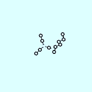 c1ccc(-c2ccc(-c3nc(-c4ccc(-c5ccccc5)cc4)nc(-c4ccc(-n5c6ccccc6c6cc(-c7cccc8c(-c9cccc%10c9oc9ccccc9%10)cccc78)ccc65)cc4)n3)cc2)cc1